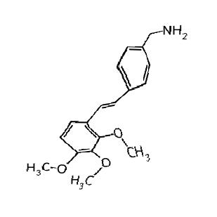 COc1ccc(C=Cc2ccc(CN)cc2)c(OC)c1OC